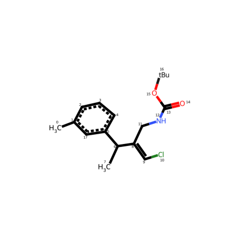 Cc1cccc(C(C)C(=CCl)CNC(=O)OC(C)(C)C)c1